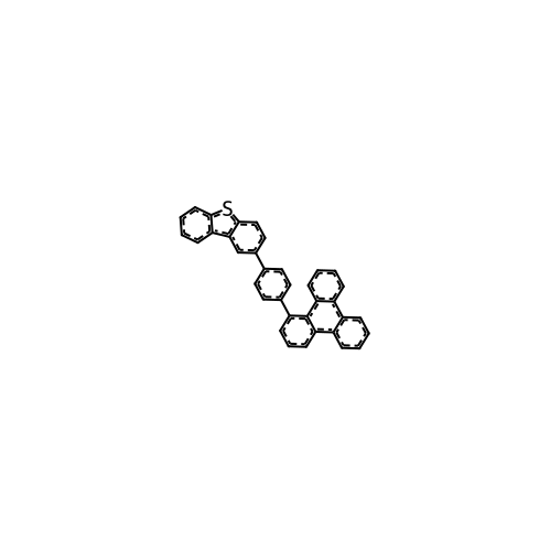 c1ccc2c(c1)sc1ccc(-c3ccc(-c4cccc5c6ccccc6c6ccccc6c45)cc3)cc12